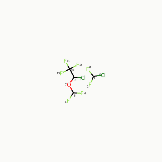 FC(F)Cl.FC(F)OC(Cl)C(F)(F)F